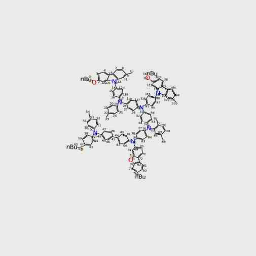 CCCCOc1ccc2c3ccc(C)cc3n(-c3ccc(N(c4ccc(C)cc4)c4ccc(N(c5ccc(N(c6ccc(N(c7ccc(-c8ccc(N(c9ccc(C)cc9)c9ccc(SCCCC)cc9)cc8)cc7)c7ccc8c(c7)oc7cc(CCCC)ccc78)cc6)c6cc(C)ccc6C)cc5)c5ccc(-n6c7cc(C)ccc7c7ccc(OCCCC)cc76)cc5)cc4)cc3)c2c1